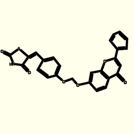 O=C1NC(=O)/C(=C\c2ccc(OCOc3ccc4c(=O)cc(-c5ccccc5)oc4c3)cc2)S1